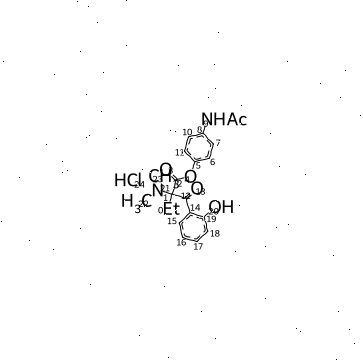 CCC(C(=O)Oc1ccc(NC(C)=O)cc1)(C(=O)c1ccccc1O)N(C)C.Cl